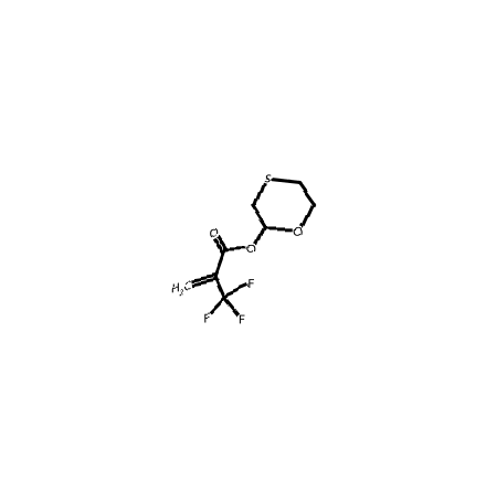 C=C(C(=O)OC1CSCCO1)C(F)(F)F